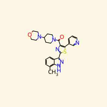 Cc1cccc2c(-c3nc(C(=O)N4CCC(N5CCOCC5)CC4)c(-c4cccnc4)s3)n[nH]c12